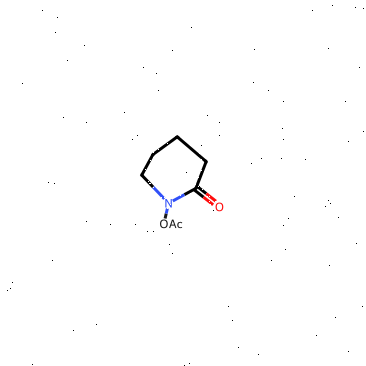 CC(=O)ON1CCCCC1=O